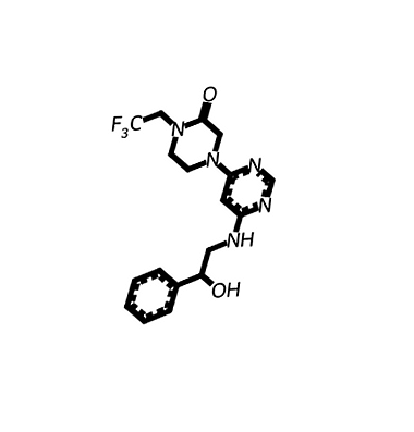 O=C1CN(c2cc(NCC(O)c3ccccc3)ncn2)CCN1CC(F)(F)F